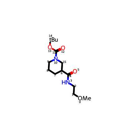 COCCNC(=O)C1CCCN(C(=O)OC(C)(C)C)C1